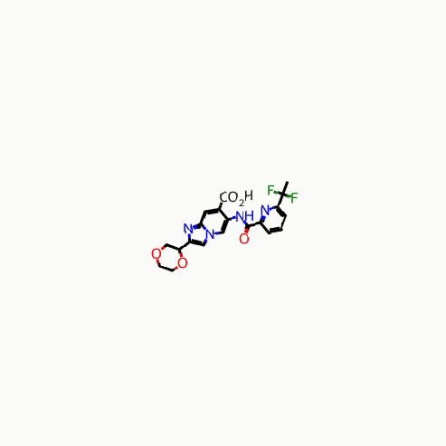 CC(F)(F)c1cccc(C(=O)Nc2cn3cc(C4COCCO4)nc3cc2C(=O)O)n1